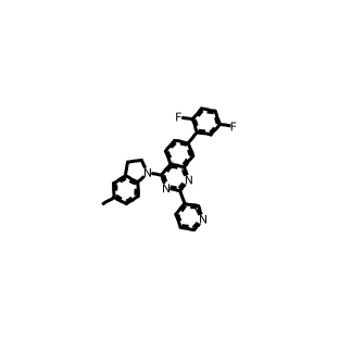 Cc1ccc2c(c1)CCN2c1nc(-c2cccnc2)nc2cc(-c3cc(F)ccc3F)ccc12